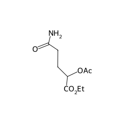 CCOC(=O)C(CCC(N)=O)OC(C)=O